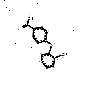 O=C(O)c1ccc(Sc2ccccc2O)cc1